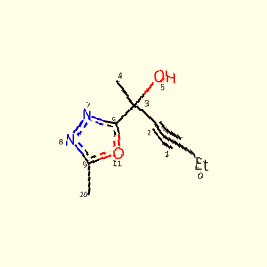 CCC#CC(C)(O)c1nnc(C)o1